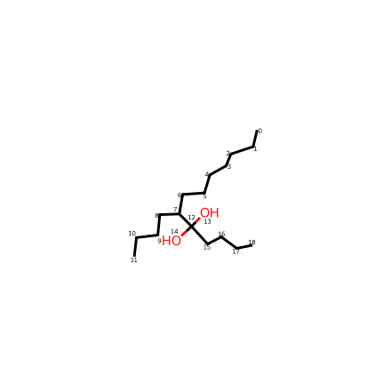 CCCCCCCC(CCCC)C(O)(O)CCCC